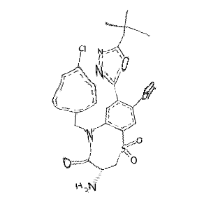 CC(C)(C)c1nnc(-c2cc3c(cc2Br)S(=O)(=O)C[C@H](N)C(=O)N3Cc2ccc(Cl)cc2)o1